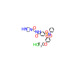 Cl.O=C(NCC(=O)N1CCNCC1)c1ccc(S(=O)(=O)N(Oc2ccc(OC(F)(F)F)cc2)c2ccccc2)cc1